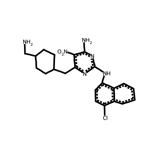 NCC1CCC(Cc2nc(Nc3ccc(Cl)c4ccccc34)nc(N)c2[N+](=O)[O-])CC1